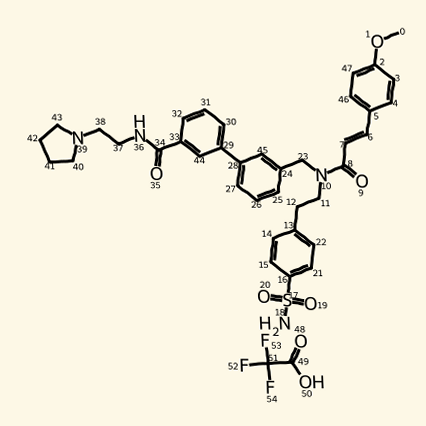 COc1ccc(/C=C/C(=O)N(CCc2ccc(S(N)(=O)=O)cc2)Cc2cccc(-c3cccc(C(=O)NCCN4CCCC4)c3)c2)cc1.O=C(O)C(F)(F)F